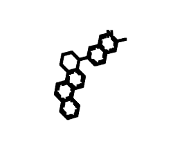 Cc1cc2ccc(C3CCCc4c3ccc3c4ccc4ccccc43)cc2cn1